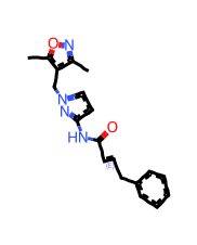 Cc1noc(C)c1Cn1ccc(NC(=O)/C=C/Cc2ccccc2)n1